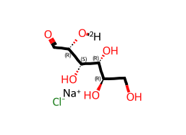 [2H]O[C@@H](C=O)[C@@H](O)[C@H](O)[C@H](O)CO.[Cl-].[Na+]